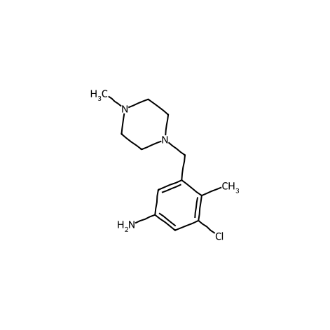 Cc1c(Cl)cc(N)cc1CN1CCN(C)CC1